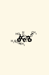 COCOc1cc(=O)n(-c2cc(-c3c(CO)c(CO)cc4cc(OC)c(OC)cc34)ccn2)c2ccccc12